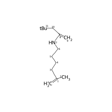 C=C(C)CCCCNC(=C)CC(C)(C)C